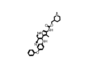 Cc1c(NC(=O)OCC2CCCN(C)C2)cn2ncc(C#N)c(Nc3ccc(Oc4ccccc4)cc3)c12